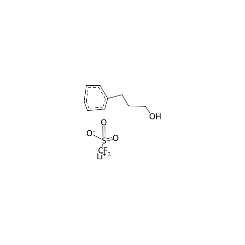 O=S(=O)([O-])C(F)(F)F.OCCCc1ccccc1.[Li+]